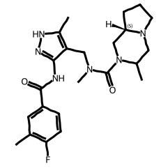 Cc1cc(C(=O)Nc2n[nH]c(C)c2CN(C)C(=O)N2C[C@@H]3CCCN3CC2C)ccc1F